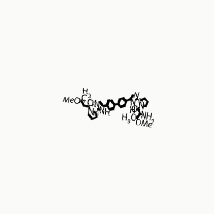 CO[C@H](C)CC(=O)N1CCC[C@H]1c1ncc(-c2ccc(-c3ccc(-c4cnc([C@@H]5CCCN5C(=O)[C@@H](N)[C@@H](C)OC)[nH]4)cc3)cc2)[nH]1